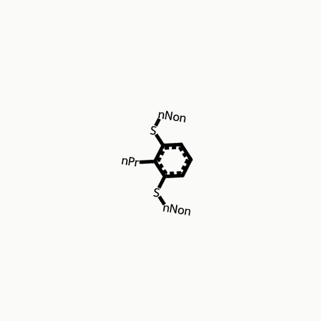 [CH2]CCc1c(SCCCCCCCCC)cccc1SCCCCCCCCC